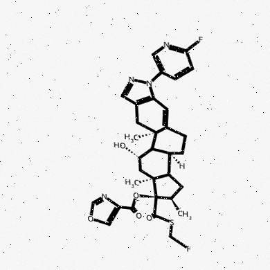 C[C@@H]1CC2[C@@H]3CCC4=Cc5c(cnn5-c5ccc(F)nc5)C[C@]4(C)C3[C@@H](O)C[C@]2(C)[C@@]1(OC(=O)c1cocn1)C(=O)SCF